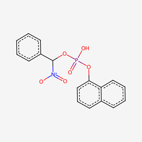 O=[N+]([O-])C(OP(=O)(O)Oc1cccc2ccccc12)c1ccccc1